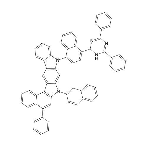 c1ccc(C2=NC(c3ccc(-n4c5ccccc5c5cc6c7c8ccccc8c(-c8ccccc8)cc7n(-c7ccc8ccccc8c7)c6cc54)c4ccccc34)NC(c3ccccc3)=N2)cc1